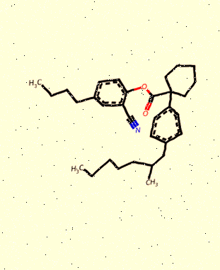 CCCCCC(C)Cc1ccc(C2(C(=O)Oc3ccc(CCCC)cc3C#N)CCCCC2)cc1